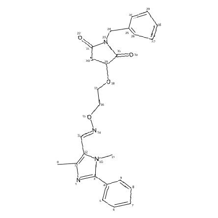 Cc1nc(-c2ccccc2)n(C)c1C=NOCCOC1SC(=O)N(Cc2ccccc2)C1=O